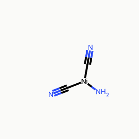 N#[C][Ni]([NH2])[C]#N